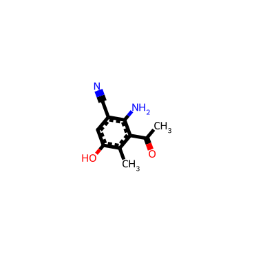 CC(=O)c1c(C)c(O)cc(C#N)c1N